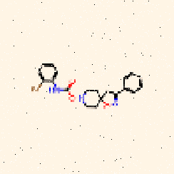 O=C(Nc1ccccc1Br)ON1CCC2(CC1)CC(c1ccccc1)=NO2